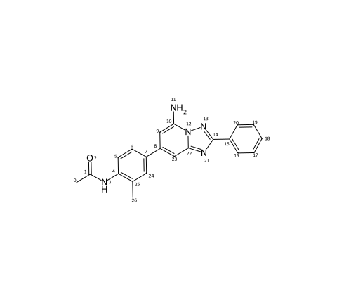 CC(=O)Nc1ccc(-c2cc(N)n3nc(-c4ccccc4)nc3c2)cc1C